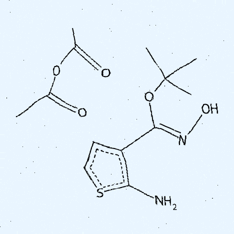 CC(=O)OC(C)=O.CC(C)(C)OC(=NO)c1ccsc1N